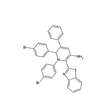 NC1=C(c2nc3ccccc3s2)N(c2ccc(Br)cc2)C(c2ccc(Br)cc2)C(c2ccccc2)=C1